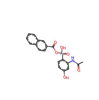 CC(=O)Nc1cc(O)ccc1[As](=O)(O)OC(=O)c1ccc2ccccc2c1